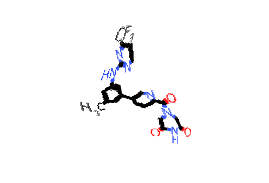 Cc1cc(Nc2nccc(C(F)(F)F)n2)cc(-c2ccc(C(=O)N3CC(=O)NC(=O)C3)nc2)c1